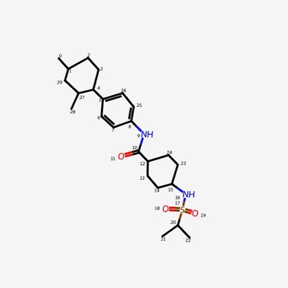 CC1CCC(c2ccc(NC(=O)C3CCC(NS(=O)(=O)C(C)C)CC3)cc2)C(C)C1